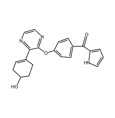 O=C(c1ccc(Oc2nccnc2C2=CCC(O)CC2)cc1)c1ccc[nH]1